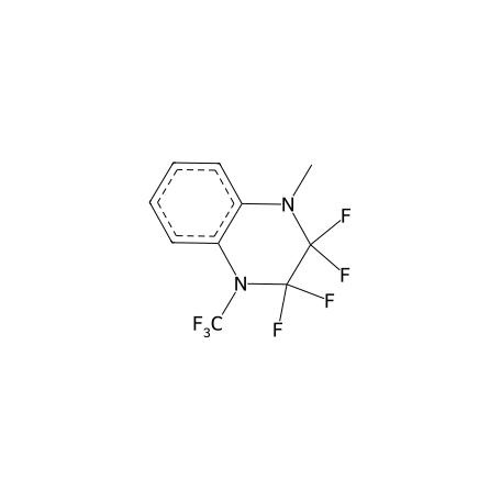 CN1c2ccccc2N(C(F)(F)F)C(F)(F)C1(F)F